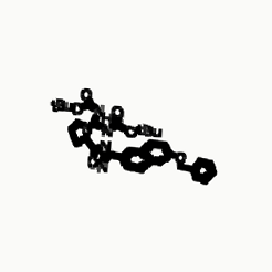 CC(C)(C)OC(=O)N=C(NC(=O)OC(C)(C)C)N1CCCC1c1nc(-c2ccc3cc(OCc4ccccc4)ccc3c2)no1